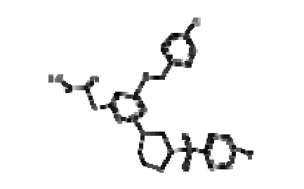 COC(=O)Cc1cc(OCc2ccc(Cl)cc2)cc(C2CCCN(S(=O)(=O)c3ccc(F)cc3)C2)c1